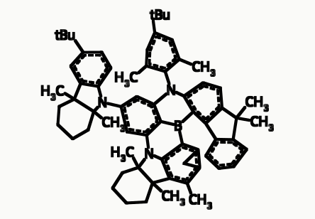 Cc1cc(C(C)(C)C)cc(C)c1N1c2cc(N3c4ccc(C(C)(C)C)cc4C4(C)CCCCC34C)cc3c2B(c2c1ccc1c2-c2ccccc2C1(C)C)c1c2c(c(C)c4c1N3C1(C)CCCCC41C)C2